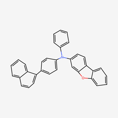 c1ccc(N(c2ccc(-c3cccc4ccccc34)cc2)c2ccc3c(c2)oc2ccccc23)cc1